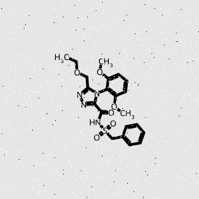 CCOCc1nnc(C(=O)NS(=O)(=O)Cc2ccccc2)n1-c1c(OC)cccc1OC